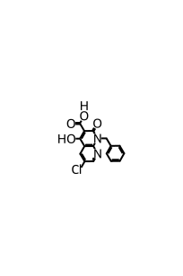 O=C(O)c1c(O)c2cc(Cl)cnc2n(Cc2ccccc2)c1=O